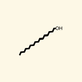 CCCCCCCCCC=CC=CCCCO